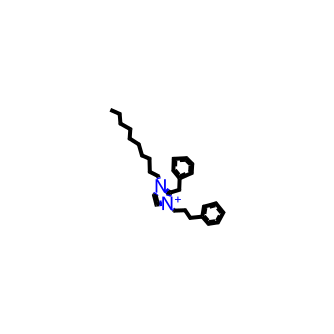 CCCCCCCCCCn1cc[n+](CCCc2ccccc2)c1Cc1ccccc1